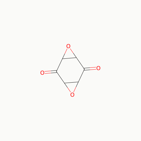 O=C1C2OC2C(=O)C2OC12